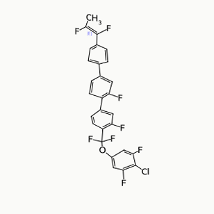 C/C(F)=C(\F)c1ccc(-c2ccc(-c3ccc(C(F)(F)Oc4cc(F)c(Cl)c(F)c4)c(F)c3)c(F)c2)cc1